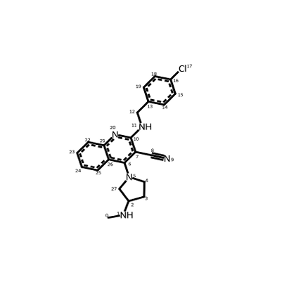 CNC1CCN(c2c(C#N)c(NCc3ccc(Cl)cc3)nc3ccccc23)C1